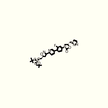 CC(C)(C)OP(=O)(OC[C@@H]1CC(c2ccc(-c3ccc(N4C[C@H](Cn5ccnn5)OC4=O)cc3F)cn2)=NO1)OC(C)(C)C